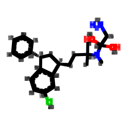 CN(C(C)(C)CC[C@@H]1C[C@@H](c2ccccc2)c2ccc(Cl)cc21)C(O)(O)CN